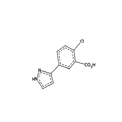 O=C(O)c1cc(-c2cc[nH]n2)ccc1Cl